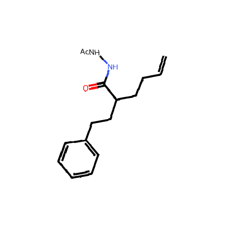 C=CCCC(CCc1ccccc1)C(=O)NNC(C)=O